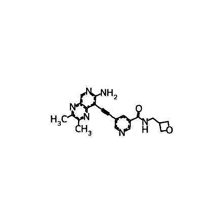 Cc1nc2cnc(N)c(C#Cc3cncc(C(=O)NCC4COC4)c3)c2nc1C